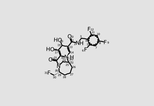 O=C(NCc1c(F)cc(F)cc1F)C1=CN2C(=C(O)C1O)C(=O)N1C[C@@H]2CCC[C@@H]1CF